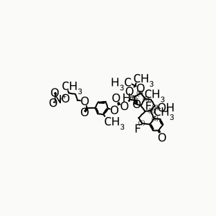 Cc1cc(C(=O)OCCC(C)O[N+](=O)[O-])ccc1OC(=O)OCC(=O)[C@@]12OC(C)(C)O[C@@H]1CC1C3C[C@H](F)C4=CC(=O)C=C[C@]4(C)[C@@]3(F)[C@@H](O)C[C@@]12C